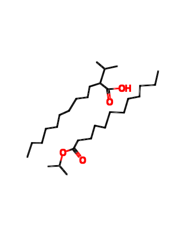 CCCCCCCCCCC(C(=O)O)C(C)C.CCCCCCCCCCCC(=O)OC(C)C